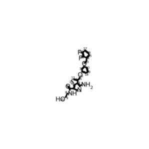 Nc1ncc(C(=O)NCCO)c2scc(COc3cccc(OCc4cccc(F)c4F)c3)c12